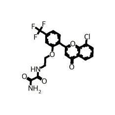 NC(=O)C(=O)NCCOc1cc(C(F)(F)F)ccc1-c1cc(=O)c2cccc(Cl)c2o1